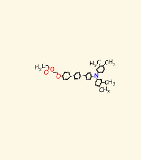 C=CC(=O)OCCOc1ccc(-c2ccc(-c3ccc(N(c4ccc(C)c(C)c4)c4ccc(C)c(C)c4)cc3)cc2)cc1